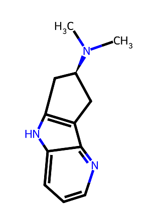 CN(C)[C@@H]1Cc2[nH]c3cccnc3c2C1